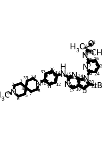 CN1CCC2(CC1)CCN(c1ccc(Nc3ncc4cc(C(C)(C)C)n(-c5cccc(N=S(C)(C)=O)n5)c4n3)cc1)CC2